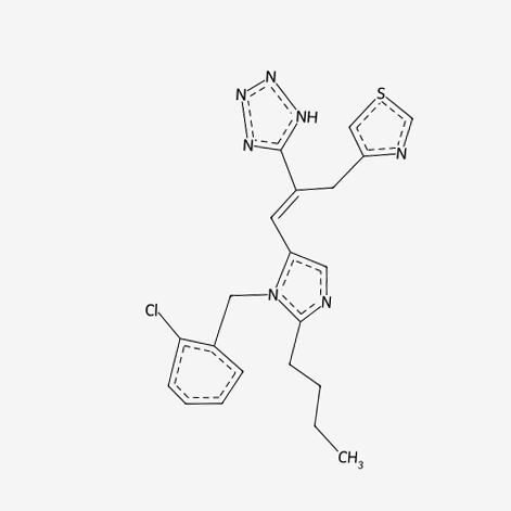 CCCCc1ncc(/C=C(\Cc2cscn2)c2nnn[nH]2)n1Cc1ccccc1Cl